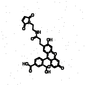 O=C(CCc1cc2c(-c3ccc(C(=O)O)cc3C(=O)O)c3ccc(=O)cc-3oc2cc1O)NCCN1C(=O)C=CC1=O